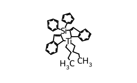 CCC[CH2][Ti]1([CH2]CCC)[CH]2C(=Cc3ccccc32)[Si](c2ccccc2)(c2ccccc2)C2=Cc3ccccc3[CH]21